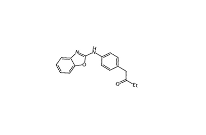 CCC(=O)Cc1ccc(Nc2nc3ccccc3o2)cc1